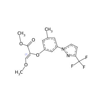 CO/C=C(\Oc1cc(C)cc(-n2ccc(C(F)(F)F)n2)c1)C(=O)OC